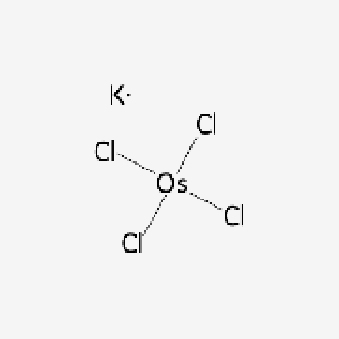 [Cl][Os]([Cl])([Cl])[Cl].[K]